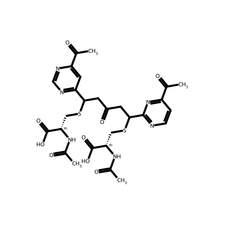 CC(=O)N[C@@H](CSC(CC(=O)CC(SC[C@H](NC(C)=O)C(=O)O)c1nccc(C(C)=O)n1)c1cc(C(C)=O)ncn1)C(=O)O